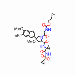 CCCc1cc2cc([C@]3(OC)C[C@@H](C(=O)NC4(C(=O)NS(=O)(=O)C5CC5)CC4)N(C(=O)CNC(=O)OCCC(C)C)C3)ccc2cc1OC